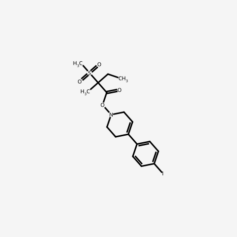 CCC(C)(C(=O)ON1CC=C(c2ccc(I)cc2)CC1)S(C)(=O)=O